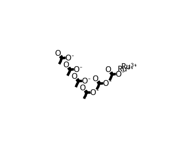 CC(=O)[O-].CC(=O)[O-].CC(=O)[O-].CC(=O)[O-].CC(=O)[O-].CC(=O)[O-].[Ru+3].[Ru+3]